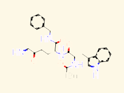 CC(C)(C)C(=O)N[C@@H](Cc1c[nH]c2ccccc12)C(=O)N[C@@H](CCC(=O)C=N)C(=O)NCc1ccccc1